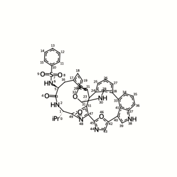 CC(C)[C@@H]1NC(=O)[C@@H](NS(=O)(=O)c2ccccc2)Cc2ccc3c(c2)[C@]24c5cccc(c5NC2O3)-c2cccc3[nH]cc(c23)-c2cnc(o2)-c2nc1oc24